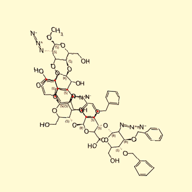 CO[C@H]1OC(CO)[C@@H](O[C@@H]2OC(C(=O)O)[C@@H](O[C@@H]3OC(CO)[C@@H](O[C@@H]4OC(C(=O)O)[C@@H](O[C@H]5OC(CO)[C@@H](OCc6ccccc6)[C@H](OCc6ccccc6)C5N=[N+]=[N-])[C@H](OCc5ccccc5)C4OCc4ccccc4)C(O)[C@@H]3N=[N+]=[N-])[C@@H](OCc3ccccc3)C2O)C(OCc2ccccc2)[C@@H]1N=[N+]=[N-]